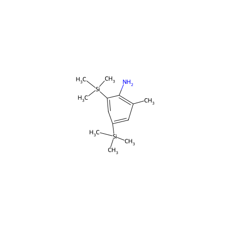 Cc1cc([Si](C)(C)C)cc([Si](C)(C)C)c1N